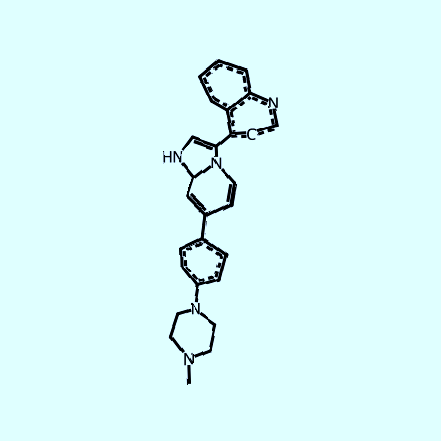 CN1CCN(c2ccc(C3=CC4NC=C(c5ccnc6ccccc56)N4C=C3)cc2)CC1